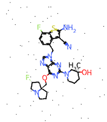 C[C@]1(O)CCCN(c2nc(OC[C@@]34CCCN3C[C@H](F)C4)c3ncn(Cc4ccc(F)c5sc(N)c(C#N)c45)c3n2)C1